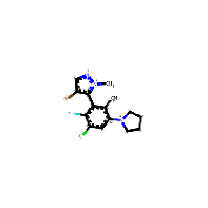 Cn1ncc(Br)c1-c1c(F)c(Cl)cc(N2CCCC2)c1C#N